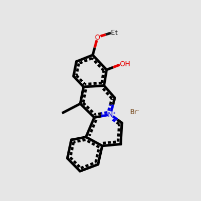 CCOc1ccc2c(C)c3c4ccccc4cc[n+]3cc2c1O.[Br-]